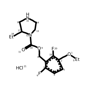 CCOc1ccc(F)c(COC(=O)N2CCNCC2CC)c1F.Cl